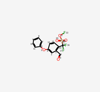 O=Cc1cc(Oc2ccccc2)ccc1C(F)(F)S(=O)(=O)OF